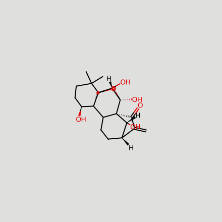 C=C1C(=O)[C@@]23C(CC[C@@H]1[C@H]2O)[C@@]12CO[C@]3(O)[C@@H](O)C1C(C)(C)CC[C@@H]2O